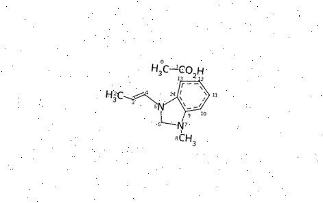 CC(=O)O.CC=CN1CN(C)c2ccccc21